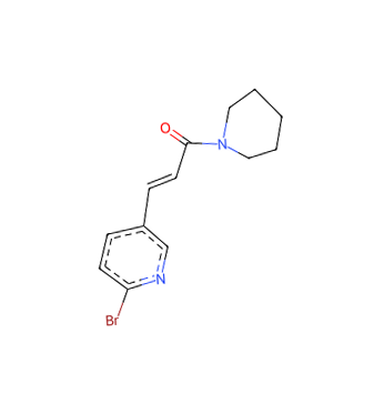 O=C(C=Cc1ccc(Br)nc1)N1CCCCC1